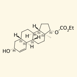 CCOC(=O)O[C@H]1CC[C@H]2[C@@H]3CC[C@H]4C[C@@H](O)C=C[C@@H]4[C@H]3CC[C@]12C